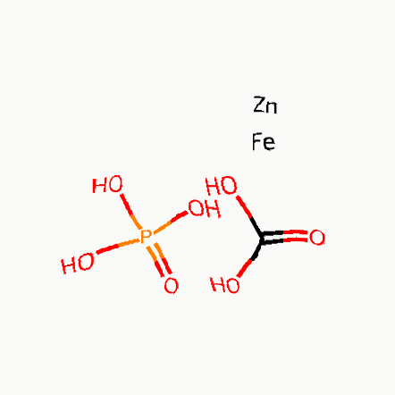 O=C(O)O.O=P(O)(O)O.[Fe].[Zn]